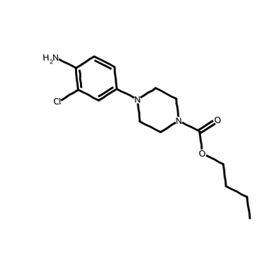 CCCCOC(=O)N1CCN(c2ccc(N)c(Cl)c2)CC1